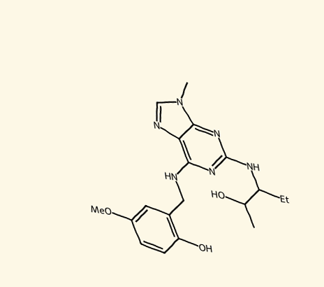 CCC(Nc1nc(NCc2cc(OC)ccc2O)c2ncn(C)c2n1)C(C)O